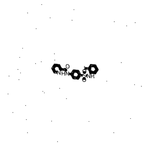 O=C(Nc1ccc(S(=O)(=O)Nc2ccccc2I)cc1)c1ccccn1